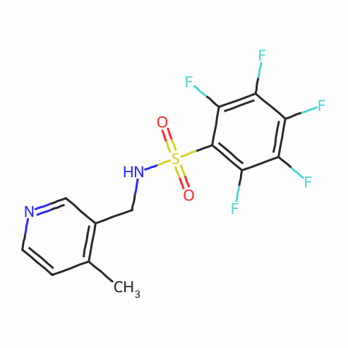 Cc1ccncc1CNS(=O)(=O)c1c(F)c(F)c(F)c(F)c1F